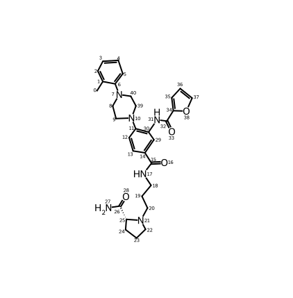 Cc1ccccc1N1CCN(c2ccc(C(=O)NCCCN3CCC[C@@H]3C(N)=O)cc2NC(=O)c2ccco2)CC1